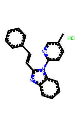 Cc1ccc(-n2c(/C=C/c3ccccc3)nc3ccccc32)nc1.Cl